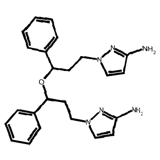 Nc1ccn(CCC(OC(CCn2ccc(N)n2)c2ccccc2)c2ccccc2)n1